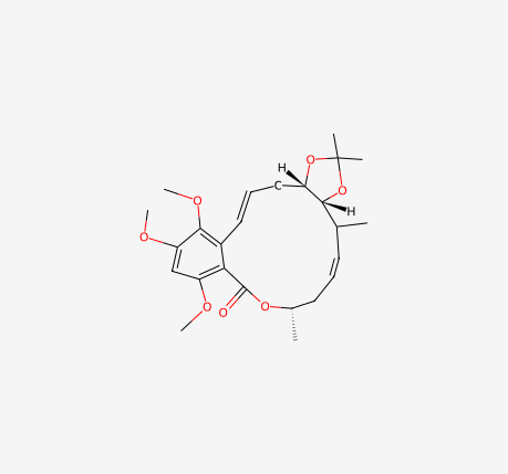 COc1cc(OC)c2c(c1OC)/C=C/C[C@@H]1OC(C)(C)O[C@@H]1C(C)/C=C\C[C@H](C)OC2=O